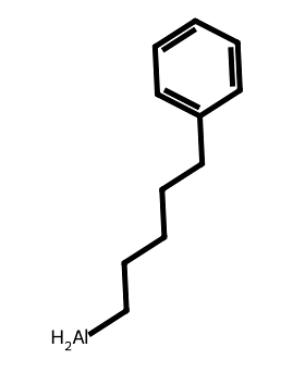 [AlH2][CH2]CCCCc1ccccc1